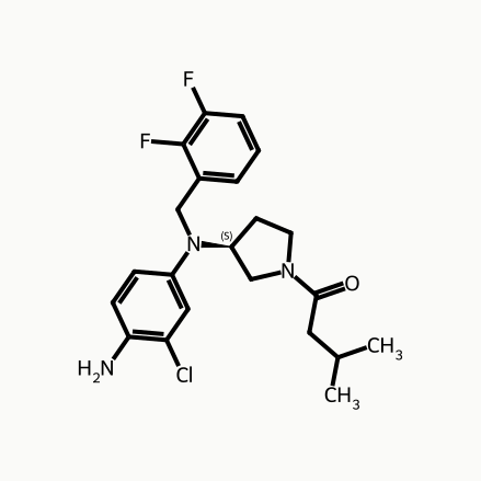 CC(C)CC(=O)N1CC[C@H](N(Cc2cccc(F)c2F)c2ccc(N)c(Cl)c2)C1